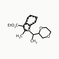 CCOC(=O)c1c(C)n(C(C)C2COCCO2)c2ccccc12